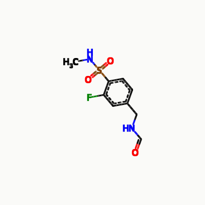 CNS(=O)(=O)c1ccc(CNC=O)cc1F